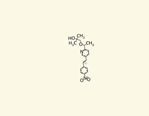 CC(OCC(C)(C)O)c1ccc(/C=C/c2ccc([N+](=O)[O-])cc2)cn1